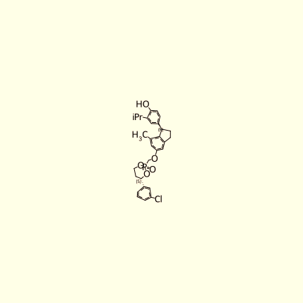 Cc1cc(OCP2(=O)OCC[C@@H](c3cccc(Cl)c3)O2)cc2c1[C@@H](c1ccc(O)c(C(C)C)c1)CC2